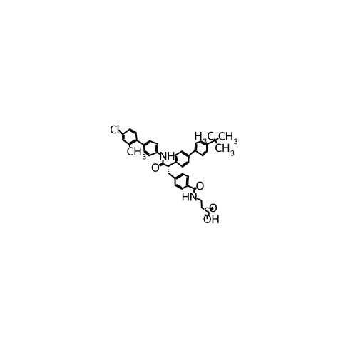 Cc1cc(Cl)ccc1-c1ccc(NC(=O)[C@@H](Cc2ccc(C(=O)NCCS(=O)O)cc2)c2ccc(-c3ccc(C(C)(C)C)cc3)cc2)cc1